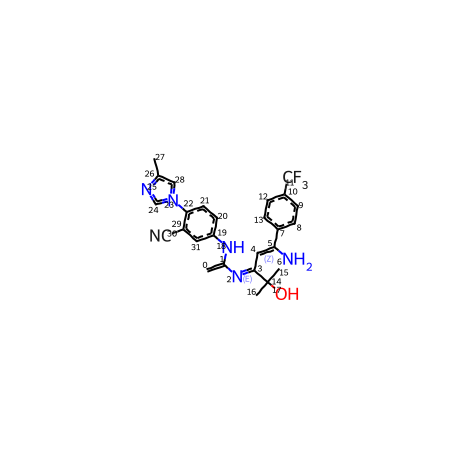 C=C(/N=C(\C=C(/N)c1ccc(C(F)(F)F)cc1)C(C)(C)O)Nc1ccc(-n2cnc(C)c2)c(C#N)c1